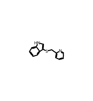 c1ccc(CSc2c[nH]c3ccccc23)nc1